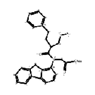 COC(=O)CN(C(=O)C(CCc1ccccc1)CSC(C)=O)c1cccc2c1Cc1ccccc1-2